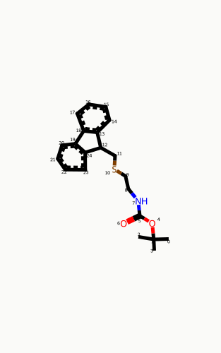 CC(C)(C)OC(=O)NCCSCC1c2ccccc2-c2ccccc21